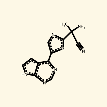 CC(N)(C#N)c1ncc(-c2ncnc3[nH]ccc23)s1